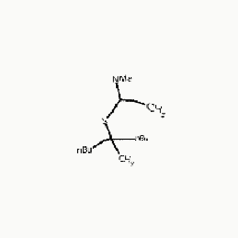 CCCCC(C)(CCCC)SC(C)NC